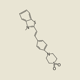 C[n+]1c(/C=C/c2ccc(N3CCS(=O)(=O)CC3)cc2)sc2ccccc21